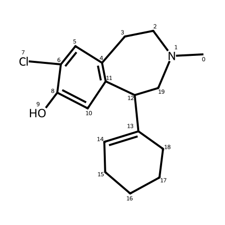 CN1CCc2cc(Cl)c(O)cc2C(C2=CCCCC2)C1